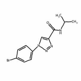 CC(C)NC(=O)c1cn(-c2ccc(Br)cc2)nn1